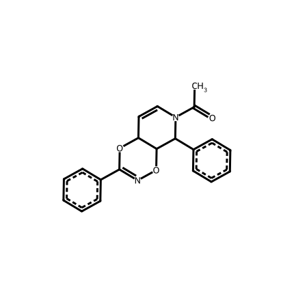 CC(=O)N1C=CC2OC(c3ccccc3)=NOC2C1c1ccccc1